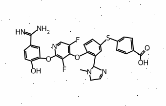 CN1CC=NC1c1cc(Sc2ccc(C(=O)O)cc2)ccc1Oc1c(F)cnc(Oc2cc(C(=N)N)ccc2O)c1F